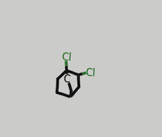 ClC1CC2CCC1(Cl)CC2